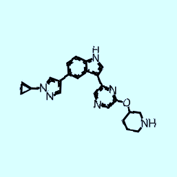 c1cc2[nH]cc(-c3cncc(OC4CCCNC4)n3)c2cc1-c1cnn(C2CC2)c1